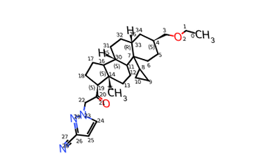 CCOC[C@H]1CCC2(C3CC3)C3CC[C@@]4(C)C(CC[C@@H]4C(=O)Cn4ccc(C#N)n4)[C@@H]3CC[C@@H]2C1